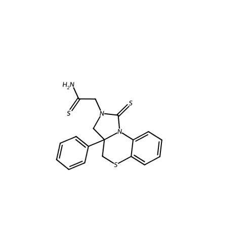 NC(=S)CN1CC2(c3ccccc3)CSc3ccccc3N2C1=S